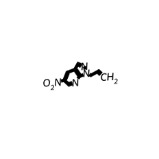 C=CCn1ncc2cc([N+](=O)[O-])cnc21